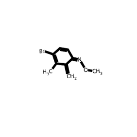 C=C1C(C)=C(Br)C=C/C1=N/OC